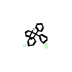 CC1=CC=C[C]1([Ti+3])C(c1ccccc1)(c1ccccc1)c1ccccc1.[Cl-].[Cl-].[Cl-]